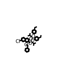 CCc1ccc(OC(Oc2cc3ccc(Cl)cc3c(OCc3ccccc3)c2OC(Oc2ccc(CC)cc2)C(C)C)C(C)C)cc1